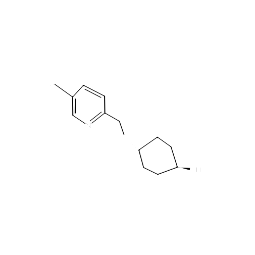 O=C[C@H]1CC[C@H](OCc2ccc(Cl)cn2)CC1